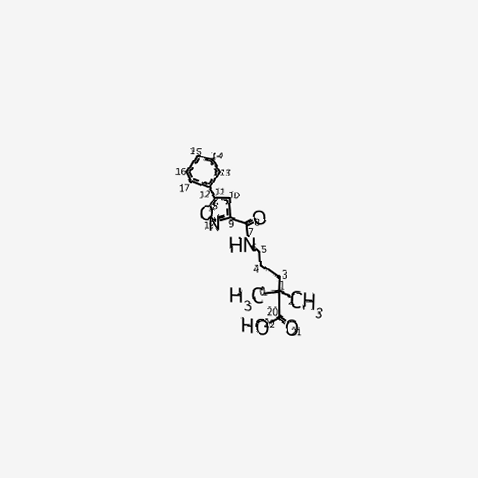 CC(C)(CCCNC(=O)c1cc(-c2ccccc2)on1)C(=O)O